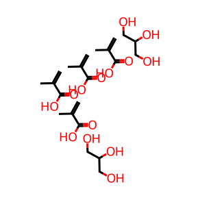 C=C(C)C(=O)O.C=C(C)C(=O)O.C=C(C)C(=O)O.C=C(C)C(=O)O.OCC(O)CO.OCC(O)CO